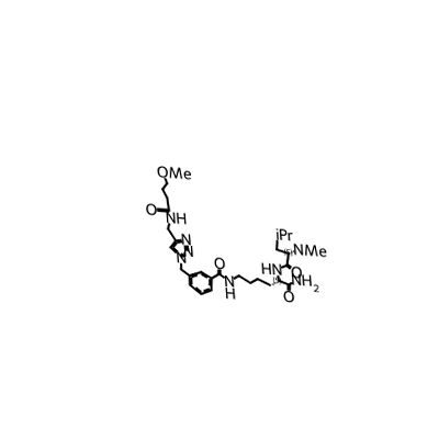 CN[C@@H](CC(C)C)C(=O)N[C@@H](CCCCNC(=O)c1cccc(Cn2cc(CNC(=O)CCCOC)nn2)c1)C(N)=O